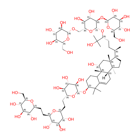 C[C@H](CC[C@@H](O[C@@H]1O[C@H](CO[C@@H]2O[C@H](CO)[C@@H](O)[C@H](O)[C@H]2O)[C@@H](O)[C@H](O)[C@H]1O[C@@H]1O[C@H](CO)[C@@H](O)[C@H](O)[C@H]1O)C(C)(C)O)[C@H]1CC[C@@]2(C)[C@@H]3CC=C4C(CC[C@H](O[C@@H]5O[C@H](CC[C@@H]6O[C@H](CC[C@@H]7O[C@H](CO)[C@@H](O)[C@H](O)[C@H]7O)[C@@H](O)[C@H](O)[C@H]6O)[C@@H](O)[C@H](O)[C@H]5O)C4(C)C)[C@]3(C)[C@H](O)C[C@]12C